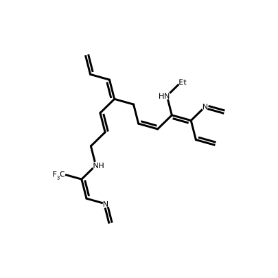 C=C/C=C(\C=C\CN/C(=C\N=C)C(F)(F)F)C/C=C\C(NCC)=C(/C=C)N=C